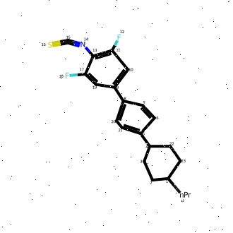 CCCC1CCC(c2ccc(-c3cc(F)c(N=C=S)c(F)c3)cc2)CC1